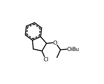 CC(C)COC(C)OC1c2ccccc2CC1Cl